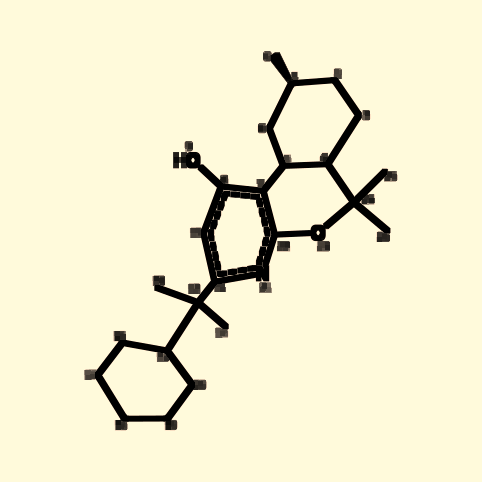 C[C@H]1CCC2C(C1)c1c(O)cc(C(C)(C)C3CCCCC3)nc1OC2(C)C